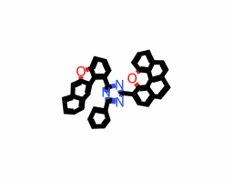 c1ccc(-c2nc(-c3ccc4ccc5ccc6cccc7c6c5c4c3O7)nc(-c3cccc4oc5cc6ccccc6cc5c34)n2)cc1